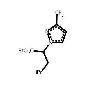 CCOC(=O)C(CC(C)C)n1ccc(C(F)(F)F)n1